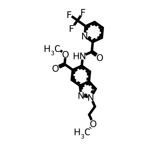 COCCn1cc2cc(NC(=O)c3cccc(C(F)(F)F)n3)c(C(=O)OC)cc2n1